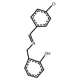 Oc1ccccc1CN=Cc1ccc(Cl)cc1